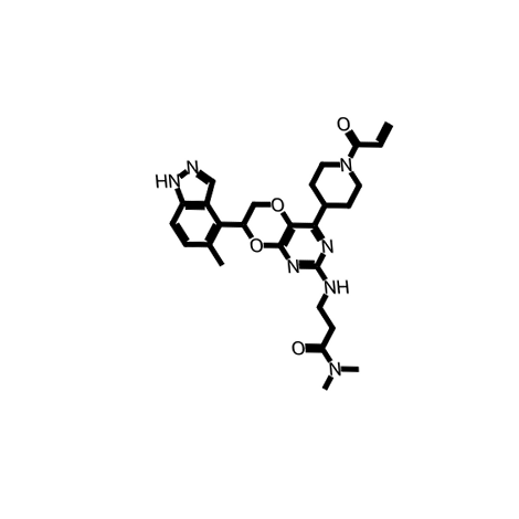 C=CC(=O)N1CCC(c2nc(NCCC(=O)N(C)C)nc3c2OCC(c2c(C)ccc4[nH]ncc24)O3)CC1